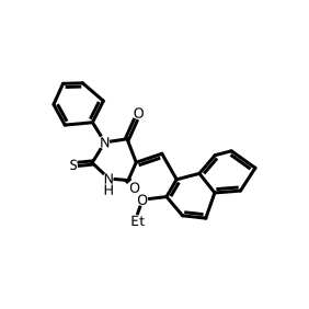 CCOc1ccc2ccccc2c1/C=C1\C(=O)NC(=S)N(c2ccccc2)C1=O